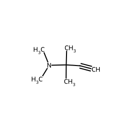 C#CC(C)(C)N(C)C